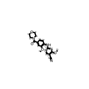 COc1cc(C(=O)N2CCOCC2)ccc1Nc1ncc(C#N)c(OC)n1